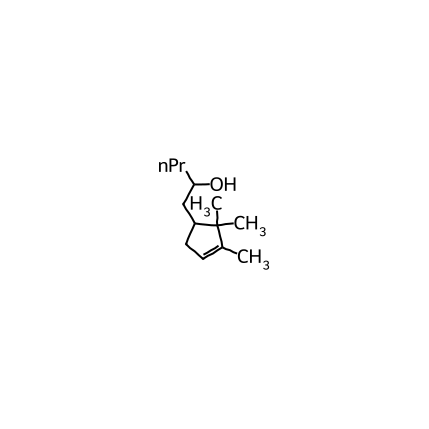 CCCC(O)CC1CC=C(C)C1(C)C